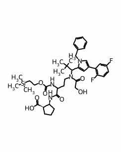 CC(C)(C)C(c1cc(-c2cc(F)ccc2F)cn1Cc1ccccc1)N(CCC(NC(=O)OCC[Si](C)(C)C)C(=O)N[C@H]1CCC[C@H]1C(=O)O)C(=O)CO